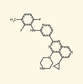 Cc1ccc(F)c(Nc2cc(-c3nc(N4CCNCC4)c4c(C5CC5)cncc4n3)ccn2)c1F